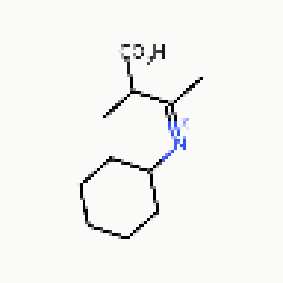 C/C(=N/C1CCCCC1)C(C)C(=O)O